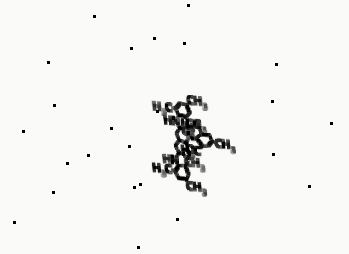 Cc1cc(C)c(NC(=O)CC(CC(=O)Nc2c(C)cc(C)cc2C)C(=O)Nc2c(C)cc(C)cc2C)c(C)c1